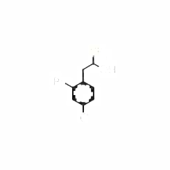 OC(Cc1ccc(Cl)cc1Br)C(F)(F)F